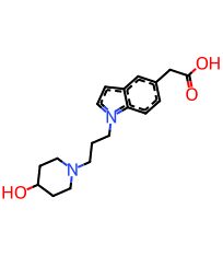 O=C(O)Cc1ccc2c(ccn2CCCN2CCC(O)CC2)c1